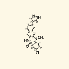 CN1C(=O)C(Cc2ccc(-c3cn[nH]c3)cc2)NC(=O)c2cc(Cl)ccc21